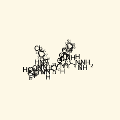 N=C(N)NCCC[C@@H](NC(=O)c1ccc(Nc2nc(NC3(c4ccc(Cl)cc4)CC3)nc(OC(O)(O)C(F)(F)F)n2)cc1)C(=O)N[C@@H](Cc1ccccc1)C(=O)O